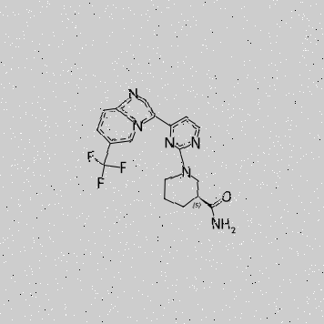 NC(=O)[C@H]1CCCN(c2nccc(-c3cnc4ccc(C(F)(F)F)cn34)n2)C1